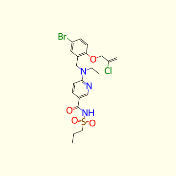 C=C(Cl)COc1ccc(Br)cc1CN(CC)c1ccc(C(=O)NS(=O)(=O)CCC)cn1